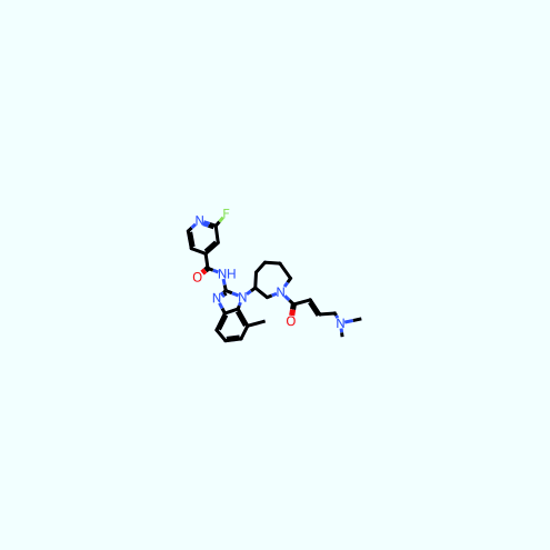 Cc1cccc2nc(NC(=O)c3ccnc(F)c3)n(C3CCCCN(C(=O)/C=C/CN(C)C)C3)c12